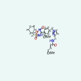 COC/C=C/C(=O)NCc1ccn(Cc2cc(OC)c3c(NS(=O)(=O)CC4CCCCC4)noc3c2)n1